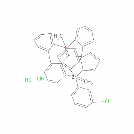 Cl.Cl.[CH2]=[Zr]([C]1=CC=CC1)([c]1ccc(C)cc1)([c]1cccc(Cl)c1)[c]1cccc2c1c1c(c3ccccc32)-c2ccccc2C1